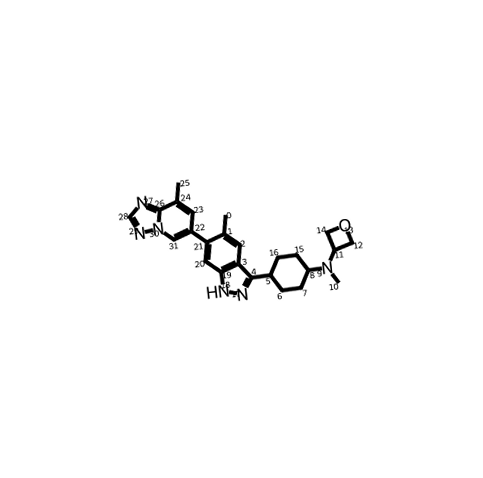 Cc1cc2c(C3CCC(N(C)C4COC4)CC3)n[nH]c2cc1-c1cc(C)c2ncnn2c1